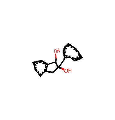 O[C]1c2ccccc2CC1(O)c1ccccc1